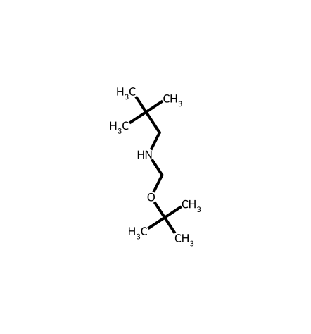 CC(C)(C)CNCOC(C)(C)C